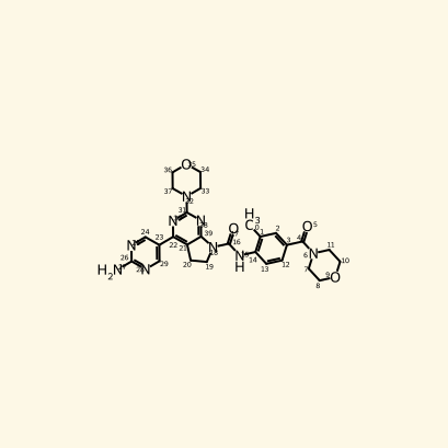 Cc1cc(C(=O)N2CCOCC2)ccc1NC(=O)N1CCc2c(-c3cnc(N)nc3)nc(N3CCOCC3)nc21